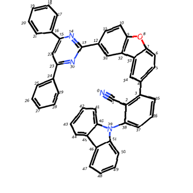 N#Cc1c(-c2ccc3oc4ccc(-c5nc(-c6ccccc6)cc(-c6ccccc6)n5)cc4c3c2)cccc1-n1c2ccccc2c2ccccc21